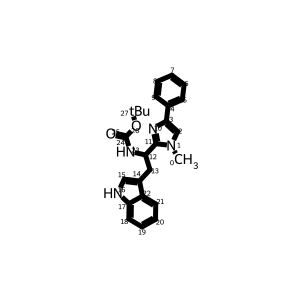 Cn1cc(-c2ccccc2)nc1C(Cc1c[nH]c2ccccc12)NC(=O)OC(C)(C)C